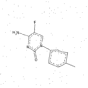 Cc1ccc(-n2cc(F)c(N)nc2=O)cc1